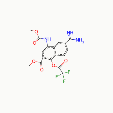 COC(=O)Nc1cc(C(=O)OC)c(OC(=O)C(F)(F)F)c2ccc(C(=N)N)cc12